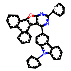 c1ccc(-c2nc(-c3ccc4c(c3)c3ccccc3n4-c3ccccc3)c3c(n2)oc2c4ccccc4c4ccccc4c23)cc1